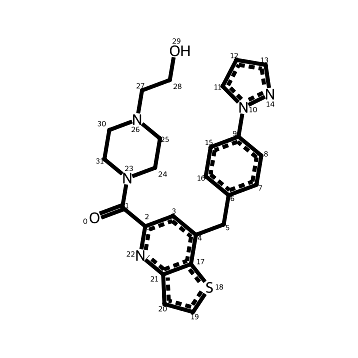 O=C(c1cc(Cc2ccc(-n3cccn3)cc2)c2sccc2n1)N1CCN(CCO)CC1